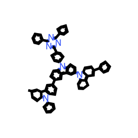 CC1=CC2c3cc(-c4ccc5c(c4)c4cc(N6C7=CC=CCC7=C7C=C(c8ccccc8)C=CC76)ccc4n5-c4ccc(-c5nc(-c6ccccc6)nc(-c6ccccc6)n5)cc4)ccc3N(c3ccccc3)C2C=C1